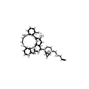 C=CCOCN1CCN(c2nc(=O)n3c4nc(c(Cl)cc24)-c2c(F)cccc2NCCSc2ccnc(C(C)C)c2-3)[C@@H]2C[C@@H]21